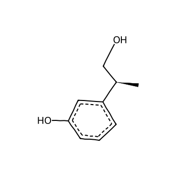 C[C@H](CO)c1cccc(O)c1